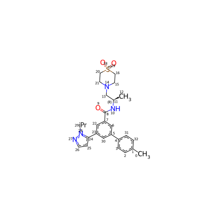 Cc1ccc(-c2cc(C(=O)N[C@H](C)CN3CCS(=O)(=O)CC3)cc(-c3ccnn3C(C)C)c2)cc1